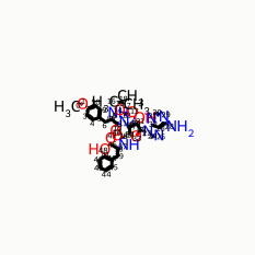 COc1ccc(C[C@H](N)C(=O)N(C(=O)OC(C)(C)C)[C@H]2[C@@H](O)[C@H](n3cnc4c(N)ncnc43)O[C@@H]2C(=O)NC(Cc2ccccc2)C(=O)O)cc1